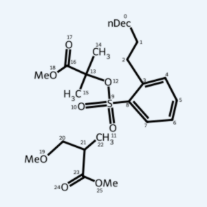 CCCCCCCCCCCCc1ccccc1S(=O)(=O)OC(C)(C)C(=O)OC.COCC(C)C(=O)OC